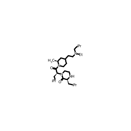 CCN(CCC1CCN(C(=O)[C@H](CC(C)C)N2CCN[C@@H](CC(C)C)C2=O)[C@@H](C)C1)CC(C)C